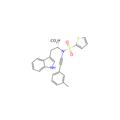 Cc1cccc(C#CN([C@H](Cc2c[nH]c3ccccc23)C(=O)O)S(=O)(=O)c2cccs2)c1